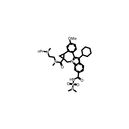 CCCN(C)CCN(C)C(=O)C12CC1c1cc(OC)ccc1-c1c(C3CCCCC3)c3ccc(C(=O)NS(=O)(=O)N(C)C)cc3n1C2